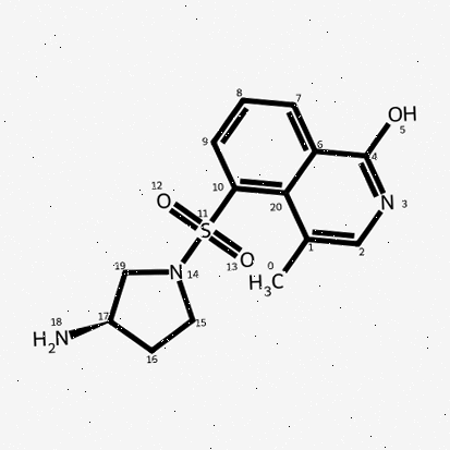 Cc1cnc(O)c2cccc(S(=O)(=O)N3CC[C@@H](N)C3)c12